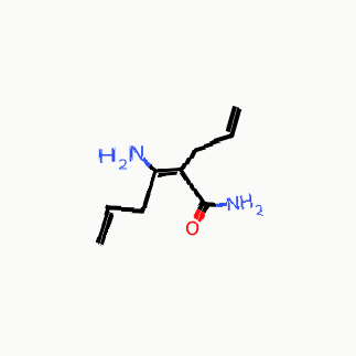 C=CCC(N)=C(CC=C)C(N)=O